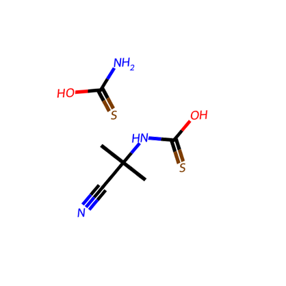 CC(C)(C#N)NC(O)=S.NC(O)=S